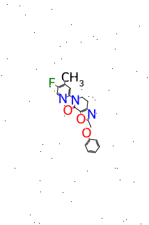 Cc1cc(N2CCc3nc(COc4ccccc4)oc3C2=O)ncc1F